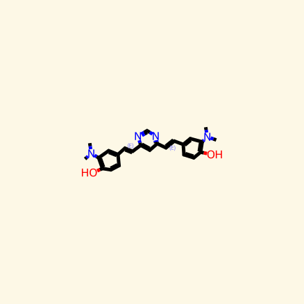 CN(C)c1cc(/C=C/c2cc(/C=C/c3ccc(O)c(N(C)C)c3)ncn2)ccc1O